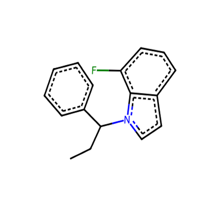 CCC(c1ccccc1)n1ccc2cccc(F)c21